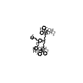 CC(C)(C)[Si](OCCCCN(CCCCO[Si](c1ccccc1)(c1ccccc1)C(C)(C)C)c1ccc(C=Cc2cccs2)c(OCc2ccccc2)c1)(c1ccccc1)c1ccccc1